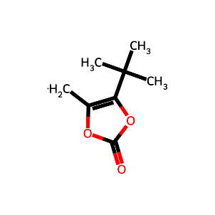 [CH2]c1oc(=O)oc1C(C)(C)C